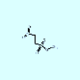 COS(=O)(=O)CC[SH](=O)=O